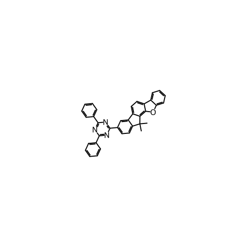 CC1(C)c2ccc(-c3nc(-c4ccccc4)nc(-c4ccccc4)n3)cc2-c2ccc3c(oc4ccccc43)c21